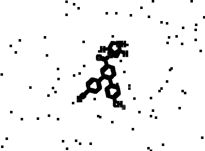 Cc1ccc(-c2ccc(C(=O)N3C[C@@H]4C[C@H]3CN4)cc2-c2ccc(C#N)cc2)cc1